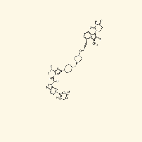 Cn1c(=O)n(C2CCC(=O)NC2=O)c2cccc(C#CCOC3CCN(C[C@H]4CC[C@@H](n5cc(NC(=O)c6cnn7ccc(N8C[C@@H]9C[C@H]8CO9)nc67)c(C(F)F)n5)CC4)CC3)c21